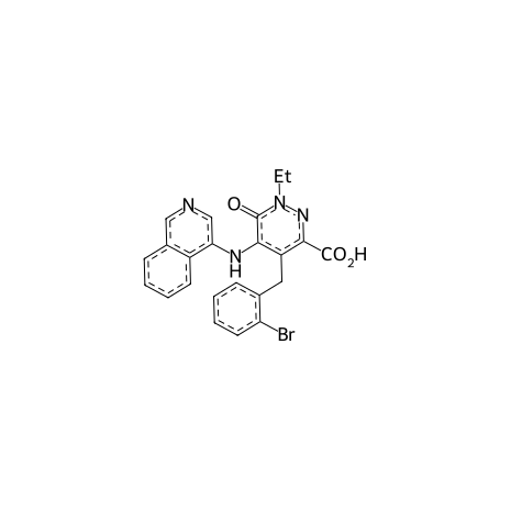 CCn1nc(C(=O)O)c(Cc2ccccc2Br)c(Nc2cncc3ccccc23)c1=O